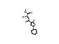 COC(=O)C(O)=CC(=O)c1cc(-c2ccccc2)sc1C